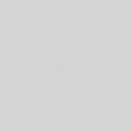 Cc1ccc(C=O)n1Cc1ccccc1